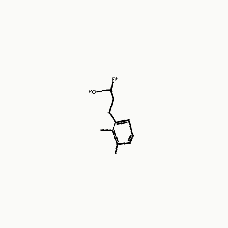 CCC(O)C[CH]c1cccc(C)c1C